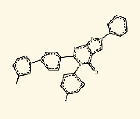 Cc1cccc(-c2ccc(-c3nc4nn(-c5ccccc5)cc4c(=O)n3-c3ccc(Cl)cc3)cc2)c1